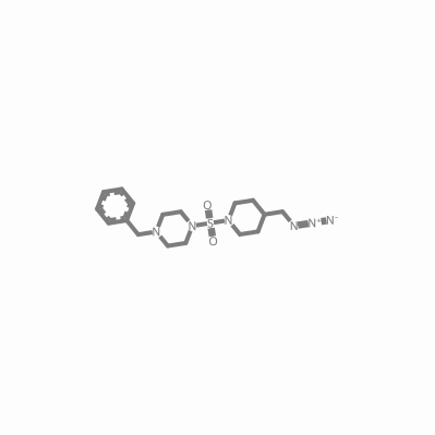 [N-]=[N+]=NCC1CCN(S(=O)(=O)N2CCN(Cc3ccccc3)CC2)CC1